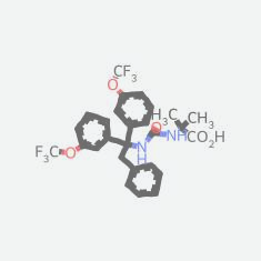 CC(C)(NC(=O)NC(Cc1ccccc1)(c1cccc(OC(F)(F)F)c1)c1cccc(OC(F)(F)F)c1)C(=O)O